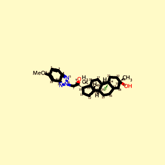 COc1ccc2nn(CC(=O)[C@H]3CC[C@H]4[C@@H]5CCC6C[C@](C)(O)CC[C@]6(F)[C@H]5CC[C@]34C)nc2c1